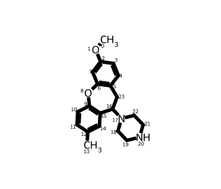 COc1ccc2c(c1)Oc1ccc(C)cc1C(N1CCNCC1)C2